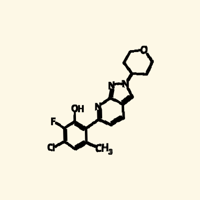 Cc1cc(Cl)c(F)c(O)c1-c1ccc2cn(C3CCOCC3)nc2n1